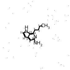 CCCCc1nc(N)cc2cc[nH]c12